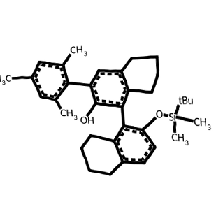 Cc1cc(C)c(-c2cc3c(c(-c4c(O[Si](C)(C)C(C)(C)C)ccc5c4CCCC5)c2O)CCCC3)c(C)c1